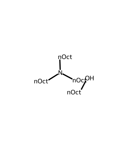 CCCCCCCCN(CCCCCCCC)CCCCCCCC.CCCCCCCCO